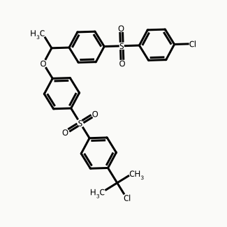 CC(Oc1ccc(S(=O)(=O)c2ccc(C(C)(C)Cl)cc2)cc1)c1ccc(S(=O)(=O)c2ccc(Cl)cc2)cc1